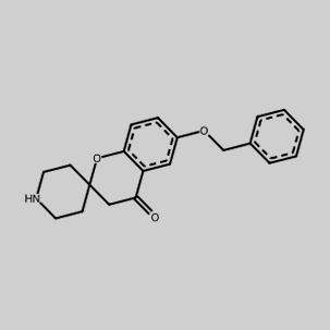 O=C1CC2(CCNCC2)Oc2ccc(OCc3ccccc3)cc21